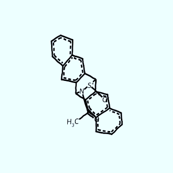 CC(=O)N1C2c3cc4ccccc4cc3C(c3cc4ccccc4cc32)[S+]1[O-]